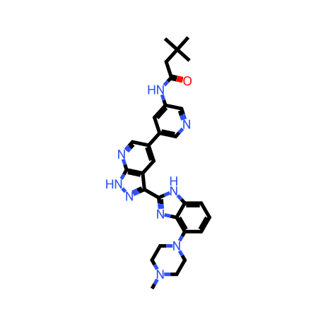 CN1CCN(c2cccc3[nH]c(-c4n[nH]c5ncc(-c6cncc(NC(=O)CC(C)(C)C)c6)cc45)nc23)CC1